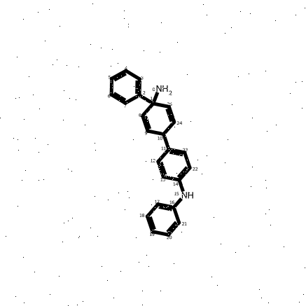 NC1(c2ccccc2)C=CC(c2ccc(Nc3ccccc3)cc2)C=C1